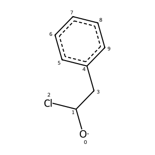 [O]C(Cl)Cc1ccccc1